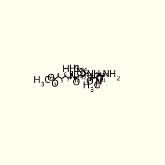 COC(=O)CCCCNC(=O)c1cc(NC(=O)c2cc(N)cn2C)cn1C